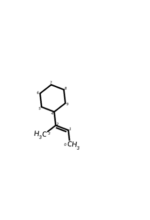 CC=C(C)C1CCCCC1